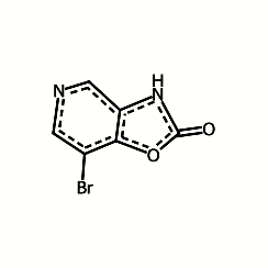 O=c1[nH]c2cncc(Br)c2o1